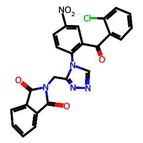 O=C(c1ccccc1Cl)c1cc([N+](=O)[O-])ccc1-n1cnnc1CN1C(=O)c2ccccc2C1=O